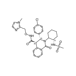 Cn1ccnc1CONC(=O)[C@@H]1c2ccccc2C(=O)N(C2CCCC[C@@H]2NS(C)(=O)=O)[C@H]1c1ccc(Cl)cc1